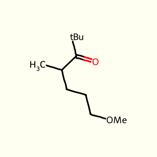 COCCCC(C)C(=O)C(C)(C)C